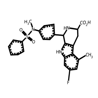 Cc1cc(F)cc2[nH]c3c(c12)CC(C(=O)O)NC3c1ccc(N(C)S(=O)(=O)c2ccccc2)cc1